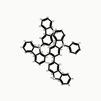 c1ccc(-n2c3ccccc3c3cc(-c4cccc5c6ccccc6n(-c6ccc7oc8ccccc8c7c6)c45)c(-c4ccc5oc6ccccc6c5c4)cc32)cc1